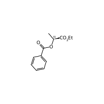 CCOC(=O)[C@H](C)OC(=O)c1ccccc1